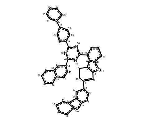 C1=C(c2ccc3sc4ccccc4c3c2)CCc2c1oc1cccc(-c3nc(-c4ccc(-c5ccccc5)cc4)nc(-c4ccc5ccccc5c4)n3)c21